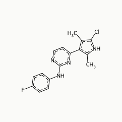 Cc1[nH]c(Cl)c(C)c1-c1ccnc(Nc2ccc(F)cc2)n1